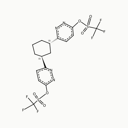 O=S(=O)(Oc1ccc([C@H]2CCC[C@H](c3ccc(OS(=O)(=O)C(F)(F)F)nn3)C2)nn1)C(F)(F)F